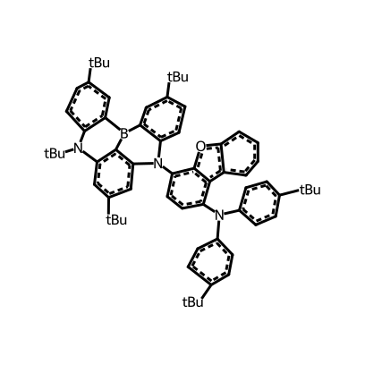 CC(C)(C)c1ccc(N(c2ccc(C(C)(C)C)cc2)c2ccc(N3c4ccc(C(C)(C)C)cc4B4c5cc(C(C)(C)C)ccc5N(C(C)(C)C)c5cc(C(C)(C)C)cc3c54)c3oc4ccccc4c23)cc1